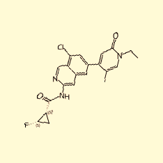 CCn1cc(C)c(-c2cc(Cl)c3cnc(NC(=O)[C@@H]4C[C@@H]4F)cc3c2)cc1=O